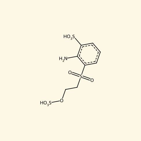 Nc1c(S(=O)(=O)O)cccc1S(=O)(=O)CCOS(=O)(=O)O